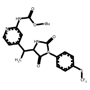 CCCCOC(=O)Nc1cc(C(C)C2NC(=O)N(c3ccc(SC(F)(F)F)cc3)C2=O)ccn1